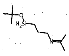 CC(C)=NCCC[SiH2]OC(C)(C)C